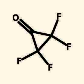 O=C1C(F)(F)C1(F)F